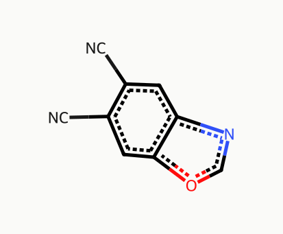 N#Cc1cc2ncoc2cc1C#N